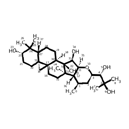 C[C@@H]1C[C@H]([C@H](O)C(C)(C)O)O[C@H]2[C@H]1[C@@]1(C)CC[C@@]34C[C@@]35CC[C@H](O)C(C)(C)[C@@H]5CC[C@H]4[C@]1(C)[C@H]2O